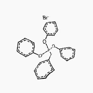 [Br-].c1ccc(C[P+](Oc2ccccc2)(Oc2ccccc2)Oc2ccccc2)cc1